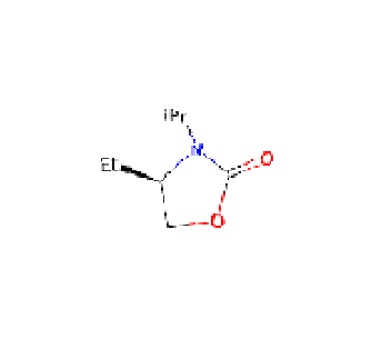 CC[C@@H]1COC(=O)N1C(C)C